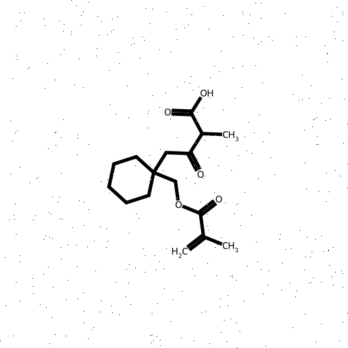 C=C(C)C(=O)OCC1(CC(=O)C(C)C(=O)O)CCCCC1